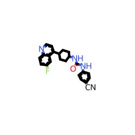 N#Cc1ccc(NC(=O)NC2CCC(c3ccnc4ccc(F)cc34)CC2)cc1